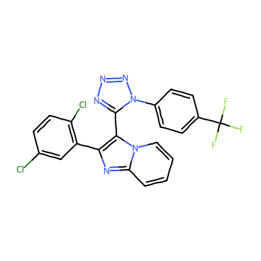 FC(F)(F)c1ccc(-n2nnnc2-c2c(-c3cc(Cl)ccc3Cl)nc3ccccn23)cc1